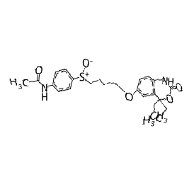 CCC1(CC)OC(=O)Nc2ccc(OCCCC[S+]([O-])c3ccc(NC(C)=O)cc3)cc21